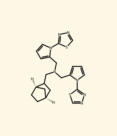 c1cc(CN(Cc2cccn2-c2nncs2)CC2C[C@H]3CC[C@@H]2C3)n(-c2nncs2)c1